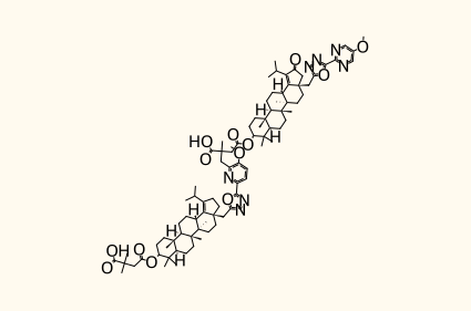 COc1cnc(-c2nnc(C[C@@]34CC[C@]5(C)[C@H](CC[C@@H]6[C@@]7(C)CC[C@H](OC(=O)CC(C)(Cc8nc(-c9nnc(C[C@]%10%11CCC(C(C)C)=C%10[C@H]%10CC[C@@H]%12[C@@]%13(C)CC[C@H](OC(=O)CC(C)(C)C(=O)O)C(C)(C)[C@@H]%13CC[C@@]%12(C)[C@]%10(C)CC%11)o9)ccc8OC)C(=O)O)C(C)(C)[C@@H]7CC[C@]65C)C3=C(C(C)C)C(=O)C4)o2)nc1